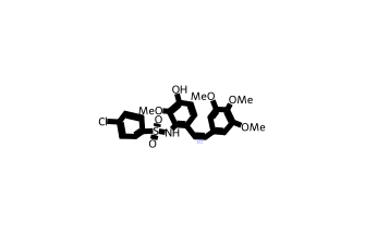 COc1cc(/C=C\c2ccc(O)c(OC)c2NS(=O)(=O)c2ccc(Cl)cc2)cc(OC)c1OC